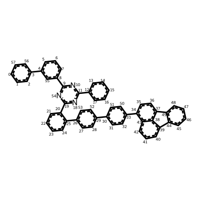 c1ccc(-c2cccc(-c3nc(-c4ccccc4)nc(-c4ccccc4-c4ccc(-c5ccc(-c6ccc7c8c(cccc68)-c6ccccc6-7)cc5)cc4)n3)c2)cc1